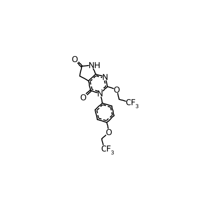 O=C1Cc2c(nc(OCC(F)(F)F)n(-c3ccc(OCC(F)(F)F)cc3)c2=O)N1